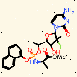 COC(=O)C(C)NP(=O)(Oc1cccc2ccccc12)OC(C)[C@H]1O[C@@H](n2ccc(N)nc2=O)C(C)(F)C1O